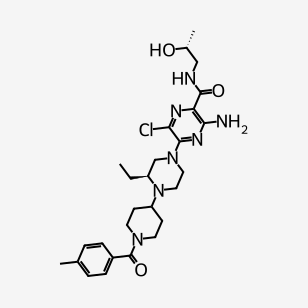 CC[C@H]1CN(c2nc(N)c(C(=O)NC[C@@H](C)O)nc2Cl)CCN1C1CCN(C(=O)c2ccc(C)cc2)CC1